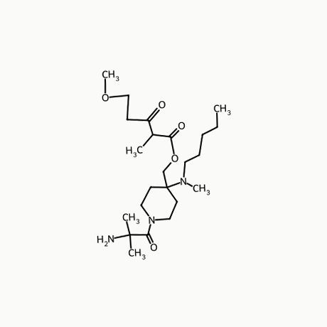 CCCCCN(C)C1(COC(=O)C(C)C(=O)CCOC)CCN(C(=O)C(C)(C)N)CC1